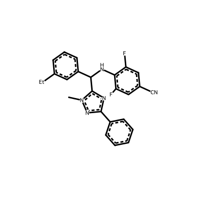 CCc1cccc(C(Nc2c(F)cc(C#N)cc2F)c2nc(-c3ccccc3)nn2C)c1